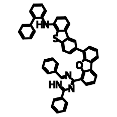 N=C(/N=C(\N=C\c1ccccc1)c1cccc2c1oc1c(-c3ccc4sc5c(Nc6ccccc6-c6ccccc6)cccc5c4c3)cccc12)c1ccccc1